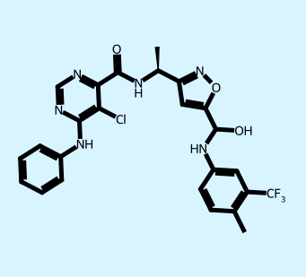 Cc1ccc(NC(O)c2cc([C@H](C)NC(=O)c3ncnc(Nc4ccccc4)c3Cl)no2)cc1C(F)(F)F